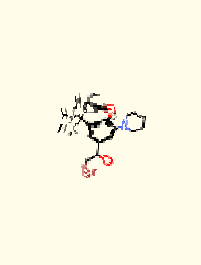 COc1c(N2CCCCC2)cc(C(=O)CBr)cc1C(C)(C)C